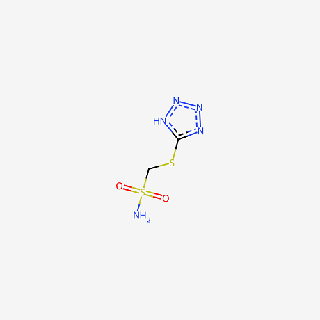 NS(=O)(=O)CSc1nnn[nH]1